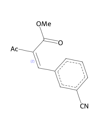 COC(=O)/C(=C\c1cccc(C#N)c1)C(C)=O